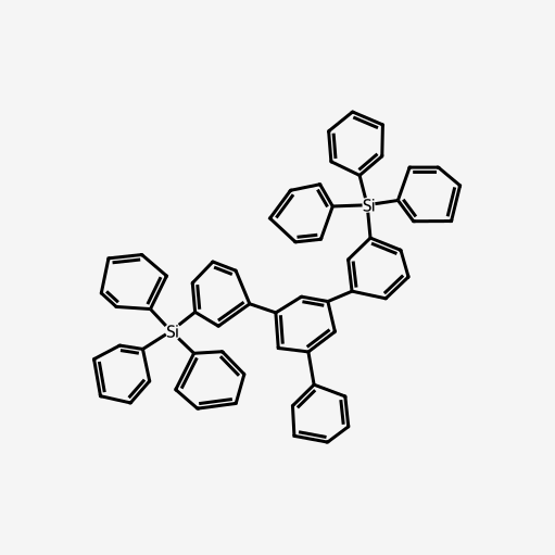 c1ccc(-c2cc(-c3cccc([Si](c4ccccc4)(c4ccccc4)c4ccccc4)c3)cc(-c3cccc([Si](c4ccccc4)(c4ccccc4)c4ccccc4)c3)c2)cc1